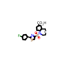 O=C(O)c1ccc2c(c1)CCCCN2S(=O)(=O)c1csc(-c2ccc(F)cc2)n1